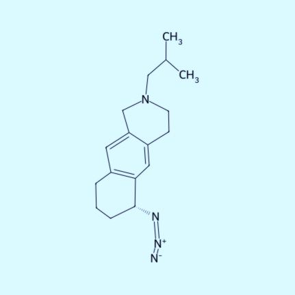 CC(C)CN1CCc2cc3c(cc2C1)CCC[C@H]3N=[N+]=[N-]